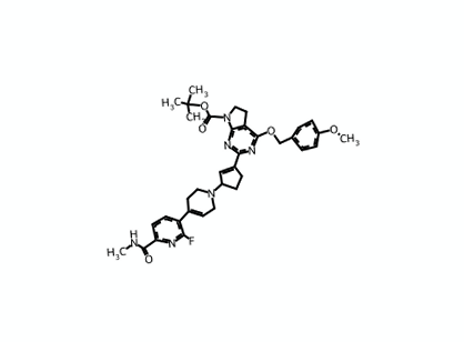 CNC(=O)c1ccc(C2=CCN(C3C=C(c4nc(OCc5ccc(OC)cc5)c5c(n4)N(C(=O)OC(C)(C)C)CC5)CC3)CC2)c(F)n1